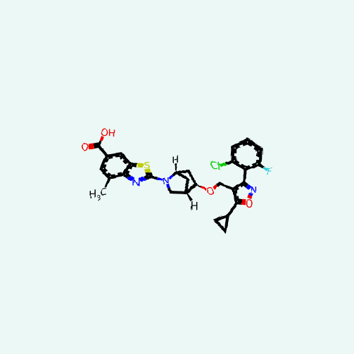 Cc1cc(C(=O)O)cc2sc(N3C[C@@H]4C[C@H]3C[C@H]4OCc3c(-c4c(F)cccc4Cl)noc3C3CC3)nc12